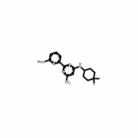 COc1cccc(-c2nc(C)cc(NC3CCC(F)(F)CC3)n2)n1